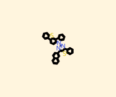 c1ccc2cc(-c3nc(-n4c5ccccc5c5c6sc7ccccc7c6ccc54)nc4c3sc3ccccc34)ccc2c1